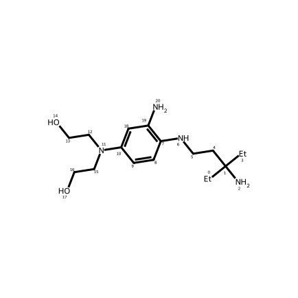 CCC(N)(CC)CCNc1ccc(N(CCO)CCO)cc1N